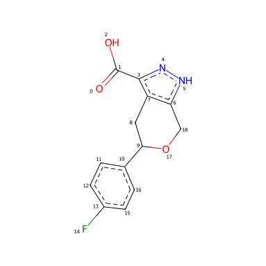 O=C(O)c1n[nH]c2c1CC(c1ccc(F)cc1)OC2